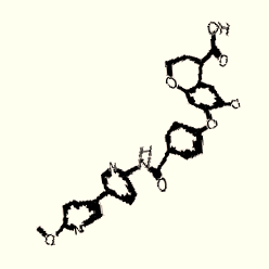 COc1ccc(-c2ccc(NC(=O)c3ccc(Oc4cc5c(cc4Cl)C(C(=O)O)CCO5)cc3)nc2)cn1